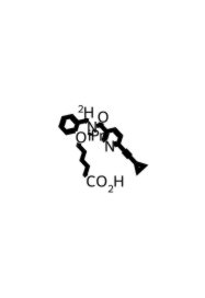 [2H]C(c1ccccc1OCCCCCC(=O)O)N(C(=O)c1ccc(C#CC2CC2)nc1)C(C)C